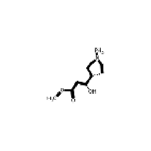 COC(=O)C[C@@H](O)[C@H]1CCN(P)C1